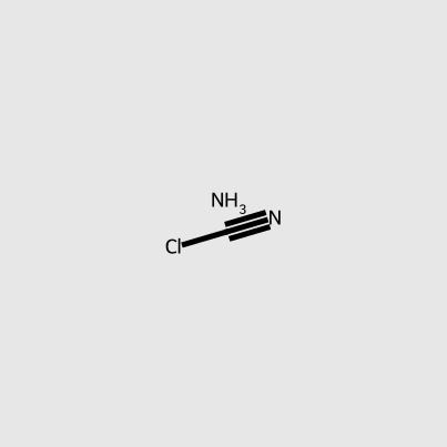 N.N#CCl